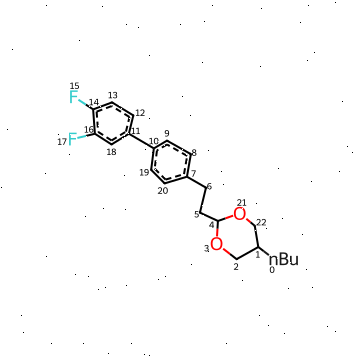 CCCCC1COC(CCc2ccc(-c3ccc(F)c(F)c3)cc2)OC1